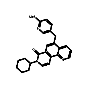 CSc1ccc(Cc2cc3c(=O)n(C4CCCCC4)ccc3c3ncccc23)cn1